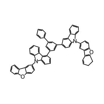 C1=Cc2c(oc3ccc(-n4c5ccccc5c5cc(-c6cc(-c7ccccc7)cc(-c7cccc8c7c7ccccc7n8-c7ccc8oc9ccccc9c8c7)c6)ccc54)cc23)CC1